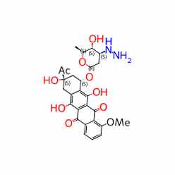 COc1cccc2c1C(=O)c1c(O)c3c(c(O)c1C2=O)C[C@@](O)(C(C)=O)C[C@@H]3O[C@H]1C[C@H](NN)[C@H](O)[C@H](C)O1